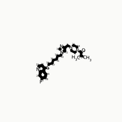 CC(C)C(=O)N1CCN(Cc2cn(CCCCCCSc3ccnc4cc(F)ccc34)cn2)CC1